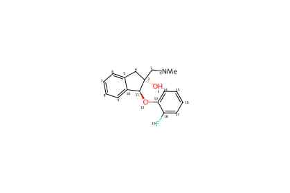 CNC[C@]1(O)Cc2ccccc2[C@@H]1Oc1ccccc1F